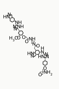 COc1cc(-c2nnc(Nc3ccc4[nH]ncc4c3)[nH]2)ccc1OCC(=O)NC1CN(C(=O)Cc2cc(Nc3nnc(-c4ccc(OCC5(N)COC5)cc4)[nH]3)cc3cn[nH]c23)C1